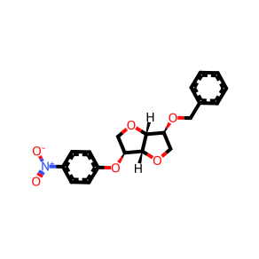 O=[N+]([O-])c1ccc(O[C@H]2CO[C@H]3[C@@H]2OC[C@@H]3OCc2ccccc2)cc1